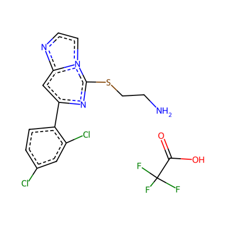 NCCSc1nc(-c2ccc(Cl)cc2Cl)cc2nccn12.O=C(O)C(F)(F)F